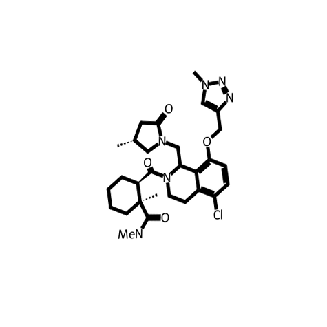 CNC(=O)[C@@]1(C)CCCC[C@H]1C(=O)N1CCc2c(Cl)ccc(OCc3cn(C)nn3)c2C1CN1C[C@H](C)CC1=O